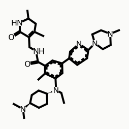 CCN(c1cc(-c2ccc(N3CCN(C)CC3)nc2)cc(C(=O)NCC2=C(C)CC(C)NC2=O)c1C)[C@H]1CC[C@H](N(C)C)CC1